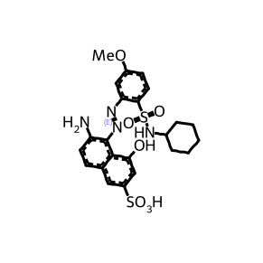 COc1ccc(S(=O)(=O)NC2CCCCC2)c(/N=N/c2c(N)ccc3cc(S(=O)(=O)O)cc(O)c23)c1